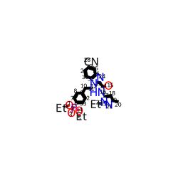 CCOP(=O)(OCC)c1ccc(CCn2c(C(=O)Nc3cc(C)nn3CC)nc3cc(C#N)ccc32)cc1